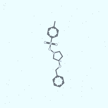 Cc1ccc(S(=O)(=O)ON2CC[C@@H](OCc3ccccc3)C2)cc1